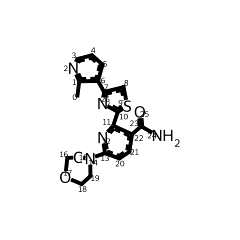 Cc1ncccc1-c1csc(-c2nc(N3CCOCC3)ccc2C(N)=O)n1